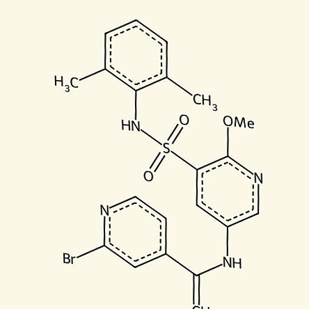 C=C(Nc1cnc(OC)c(S(=O)(=O)Nc2c(C)cccc2C)c1)c1ccnc(Br)c1